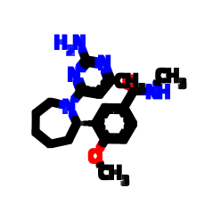 CNC(=O)c1ccc(OC)c([C@@H]2CCCCCN2c2cc(C)nc(N)n2)c1